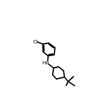 CC(C)(C)C1CCC(Nc2cccc(Cl)c2)CC1